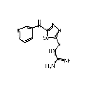 N=C(N)NCc1nnc(Nc2ccccc2)[se]1